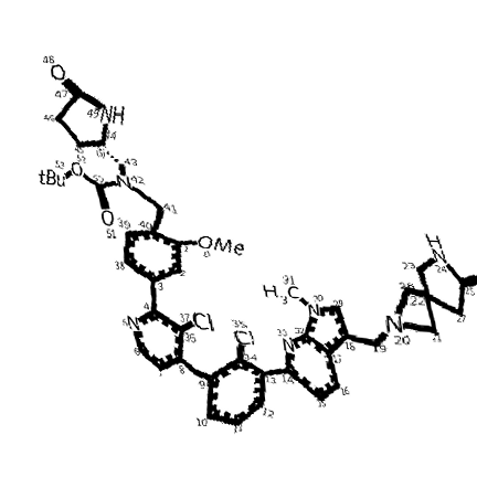 COc1cc(-c2nccc(-c3cccc(-c4ccc5c(CN6CC7(CNC(=O)C7)C6)cn(C)c5n4)c3Cl)c2Cl)ccc1CN(C[C@@H]1CCC(=O)N1)C(=O)OC(C)(C)C